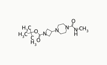 CNC(=O)N1CCN(C2CN(C(=O)OC(C)(C)C)C2)CC1